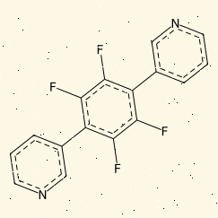 Fc1c(F)c(-c2cccnc2)c(F)c(F)c1-c1cccnc1